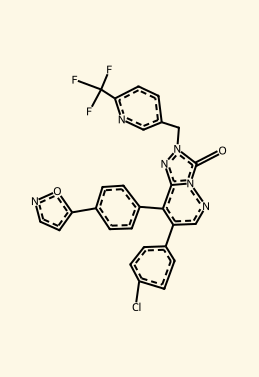 O=c1n(Cc2ccc(C(F)(F)F)nc2)nc2c(-c3ccc(-c4ccno4)cc3)c(-c3ccc(Cl)cc3)cnn12